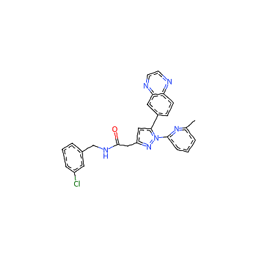 Cc1cccc(-n2nc(CC(=O)NCc3cccc(Cl)c3)cc2-c2ccc3nccnc3c2)n1